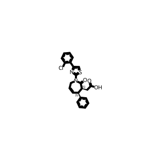 O=C(O)C[C@@H]1C(=O)N(c2nc(-c3ccccc3Cl)cs2)CC=C[C@@H]1c1ccccc1